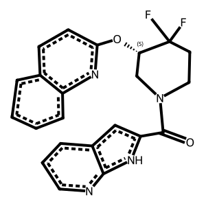 O=C(c1cc2cccnc2[nH]1)N1CCC(F)(F)[C@@H](Oc2ccc3ccccc3n2)C1